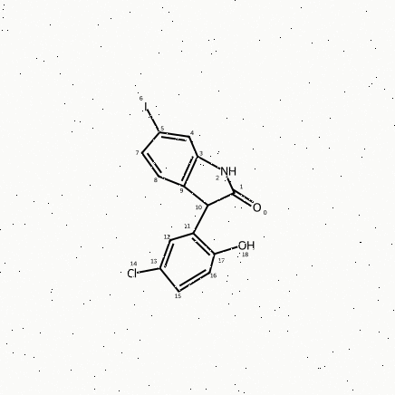 O=C1Nc2cc(I)ccc2C1c1cc(Cl)ccc1O